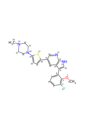 COc1c(F)cccc1-c1c[nH]c2ncc(-c3ccc(N4CCN(C)CC4)s3)cc12